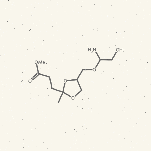 COC(=O)CCC1(C)OCC(COC(N)CO)O1